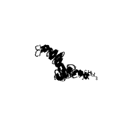 Cc1ncoc1C(=O)N1Cc2cc3c(cc2C[C@H]1C(=O)NC(Cc1ccc(-c2ccnc(C)c2C)cc1)C(=O)O)OC[C@H](c1ccc(OCc2ccc(Cl)c(Cl)c2)cc1)O3